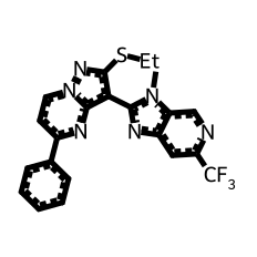 CCSc1nn2ccc(-c3ccccc3)nc2c1-c1nc2cc(C(F)(F)F)ncc2n1C